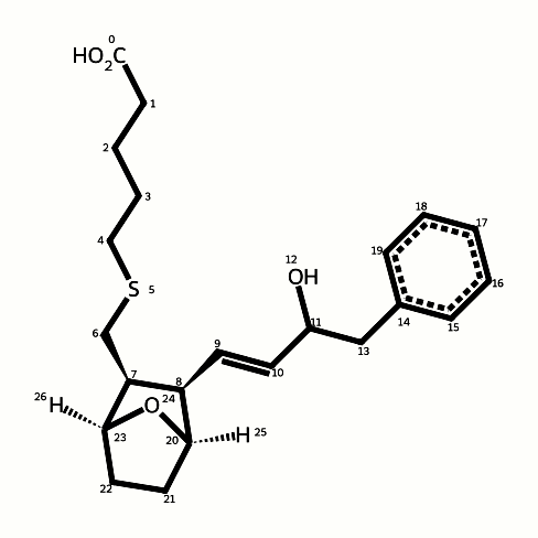 O=C(O)CCCCSC[C@H]1[C@@H](/C=C/C(O)Cc2ccccc2)[C@H]2CC[C@@H]1O2